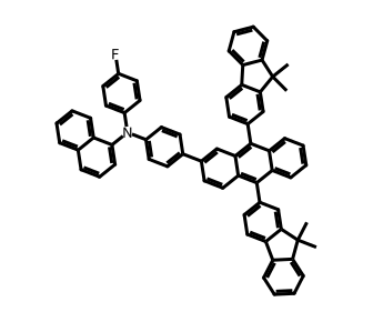 CC1(C)c2ccccc2-c2ccc(-c3c4ccccc4c(-c4ccc5c(c4)C(C)(C)c4ccccc4-5)c4cc(-c5ccc(N(c6ccc(F)cc6)c6cccc7ccccc67)cc5)ccc34)cc21